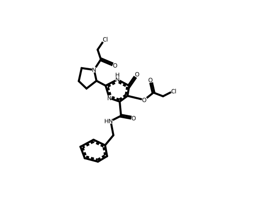 O=C(CCl)Oc1c(C(=O)NCc2ccccc2)nc(C2CCCN2C(=O)CCl)[nH]c1=O